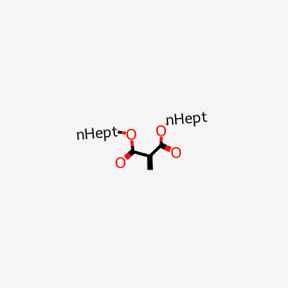 C=C(C(=O)OCCCCCCC)C(=O)OCCCCCCC